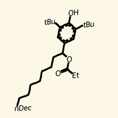 CCCCCCCCCCCCCCCCCC(OC(=O)CC)c1cc(C(C)(C)C)c(O)c(C(C)(C)C)c1